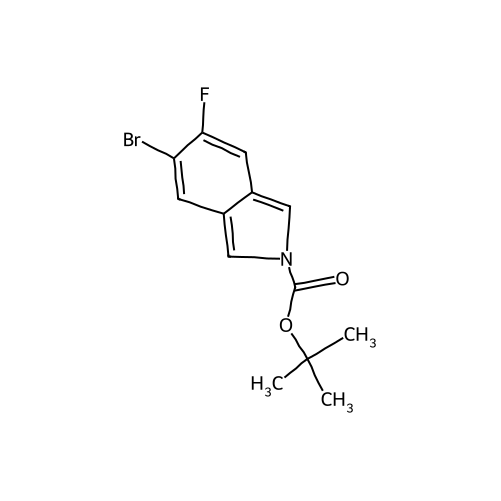 CC(C)(C)OC(=O)n1cc2cc(F)c(Br)cc2c1